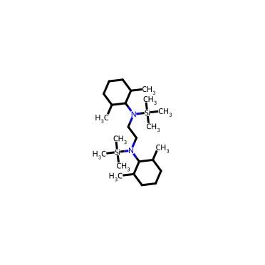 CC1CCCC(C)C1N(CCN(C1C(C)CCCC1C)[Si](C)(C)C)[Si](C)(C)C